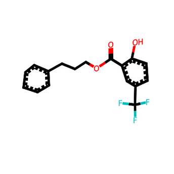 O=C(OCCCc1ccccc1)c1cc(C(F)(F)F)ccc1O